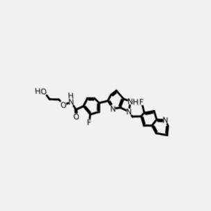 O=C(NOCCO)c1ccc(-c2ccc3[nH]n(Cc4cc5cccnc5cc4F)c3n2)cc1F